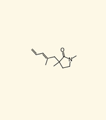 C=C/C=C(\C)CC1(C)CCN(C)C1=O